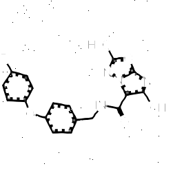 Cc1nn2c(C(=O)NCc3ccc(Oc4ccc(F)cc4)cc3)c(C)nc2o1